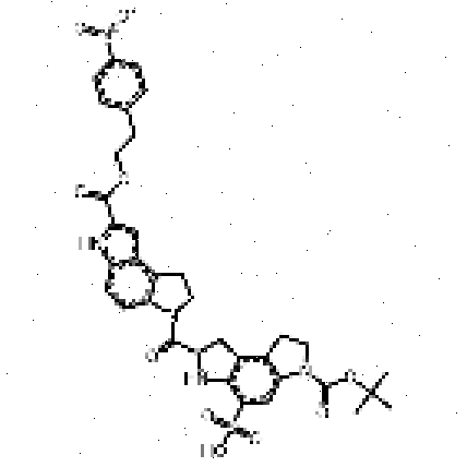 CC(C)(C)OC(=O)N1CCc2c1cc(S(=O)(=O)O)c1c2CC(C(=O)N2CCc3c2ccc2[nH]c(C(=O)OCCc4ccc([N+](=O)[O-])cc4)cc32)N1